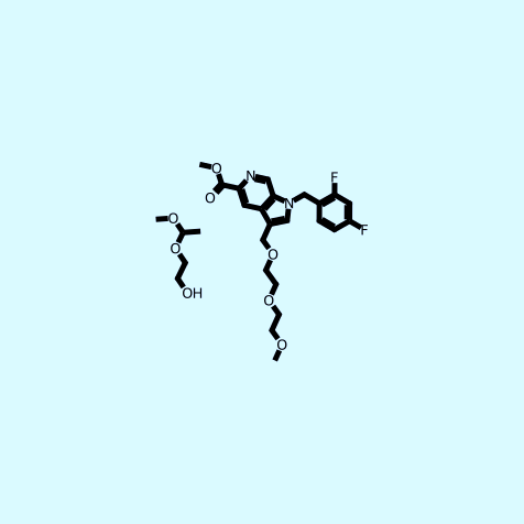 COC(C)OCCO.COCCOCCOCc1cn(Cc2ccc(F)cc2F)c2cnc(C(=O)OC)cc12